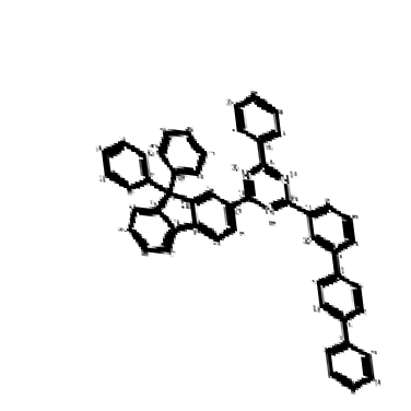 c1ccc(-c2ccc(-c3cccc(-c4nc(-c5ccccc5)nc(-c5ccc6c(c5)C(c5ccccc5)(c5ccccc5)c5ccccc5-6)n4)c3)cc2)cc1